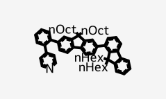 CCCCCCCCC1(CCCCCCCC)c2cc(-c3ccccc3-c3ccncc3)ccc2-c2ccc(-c3cccc4c3C(CCCCCC)(CCCCCC)c3ccccc3-4)cc21